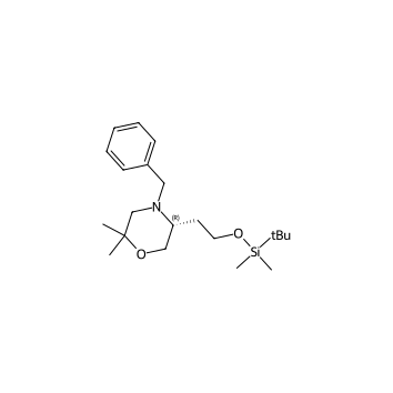 CC1(C)CN(Cc2ccccc2)[C@H](CCO[Si](C)(C)C(C)(C)C)CO1